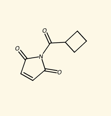 O=C1C=CC(=O)N1C(=O)C1CCC1